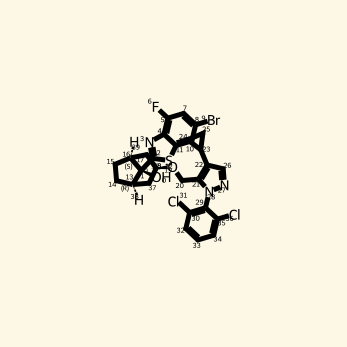 O[C@@]1(c2nc3c(F)cc(Br)cc3s2)[C@@H]2CC[C@H]1C[C@@H](OCc1c(C3CC3)cnn1-c1c(Cl)cccc1Cl)C2